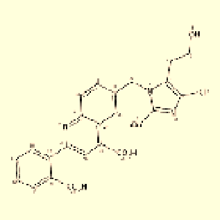 CCCCc1nc(Cl)c(CCO)n1Cc1ccc2nc(-c3ccccc3C(=O)O)cc(C(=O)O)c2c1